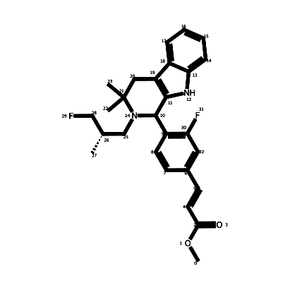 COC(=O)/C=C/c1ccc(C2c3[nH]c4ccccc4c3CC(C)(C)N2C[C@H](C)CF)c(F)c1